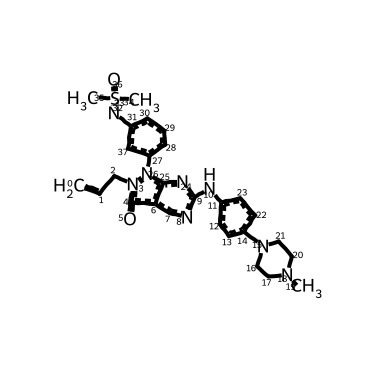 C=CCn1c(=O)c2cnc(Nc3ccc(N4CCN(C)CC4)cc3)nc2n1-c1cccc(N=S(C)(C)=O)c1